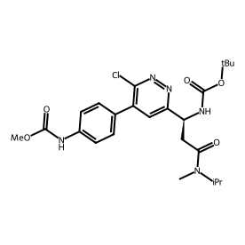 COC(=O)Nc1ccc(-c2cc([C@H](CC(=O)N(C)C(C)C)NC(=O)OC(C)(C)C)nnc2Cl)cc1